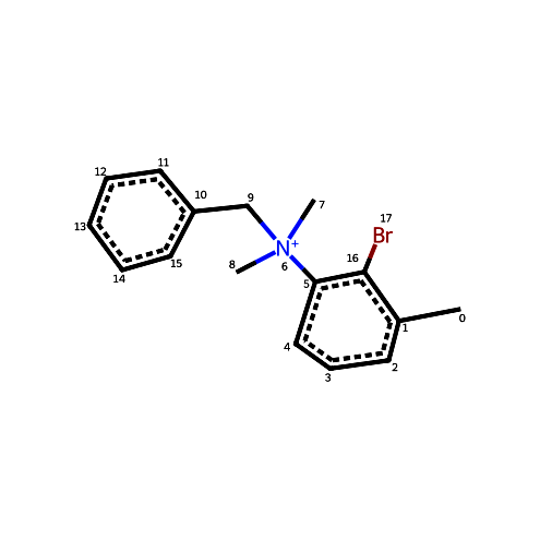 Cc1cccc([N+](C)(C)Cc2ccccc2)c1Br